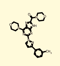 Cc1cccc(-c2ccn(-c3nc(N4CCOCC4)c4nc(C(=O)N5CCOCC5)[nH]c4n3)n2)c1